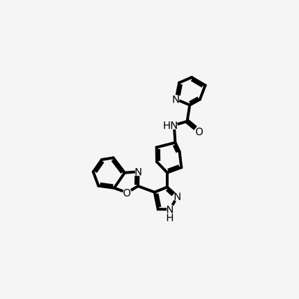 O=C(Nc1ccc(-c2n[nH]cc2-c2nc3ccccc3o2)cc1)c1ccccn1